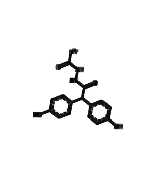 CCCC(=O)NNC(=O)C(c1ccc(O)cc1)c1ccc(O)cc1